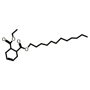 CCCCCCCCCCCCOC(=O)C1CC=CCC1C(=O)OCC